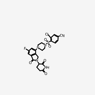 N#Cc1ccc(S(=O)(=O)N2CCN(c3cc(F)cc4c3CN(C3CCC(=O)NC3=O)C4=O)CC2)c(Cl)c1